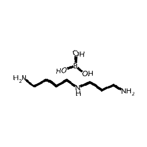 NCCCCNCCCN.OB(O)O